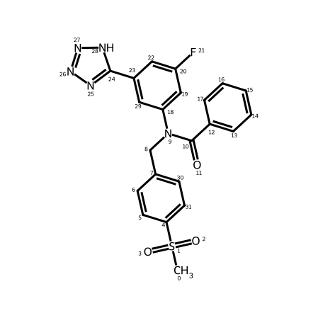 CS(=O)(=O)c1ccc(CN(C(=O)c2ccccc2)c2cc(F)cc(-c3nnn[nH]3)c2)cc1